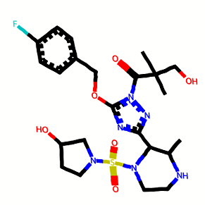 CC1NCCN(S(=O)(=O)N2CCC(O)C2)C1c1nc(OCc2ccc(F)cc2)n(C(=O)C(C)(C)CO)n1